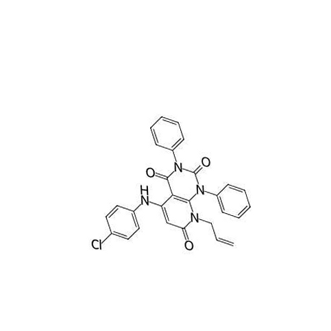 C=CCn1c(=O)cc(Nc2ccc(Cl)cc2)c2c(=O)n(-c3ccccc3)c(=O)n(-c3ccccc3)c21